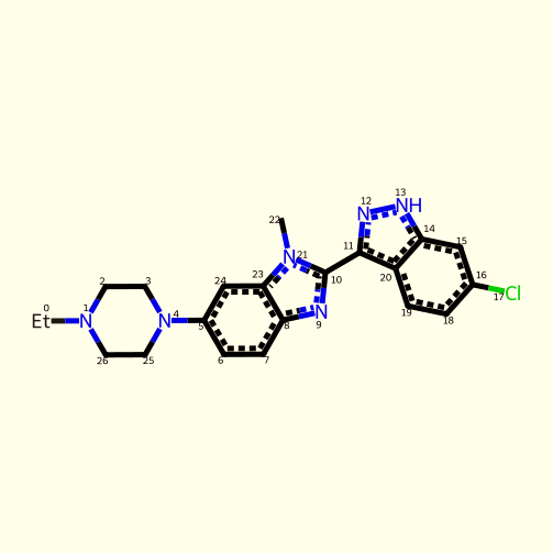 CCN1CCN(c2ccc3nc(-c4n[nH]c5cc(Cl)ccc45)n(C)c3c2)CC1